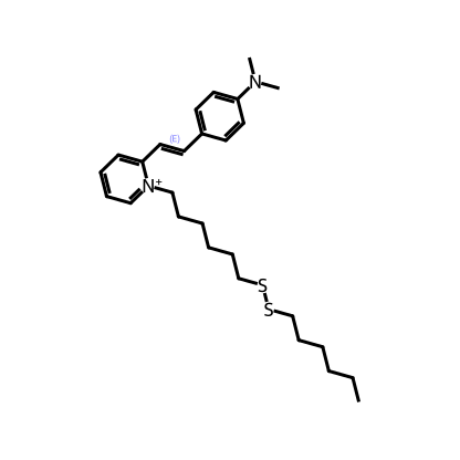 CCCCCCSSCCCCCC[n+]1ccccc1/C=C/c1ccc(N(C)C)cc1